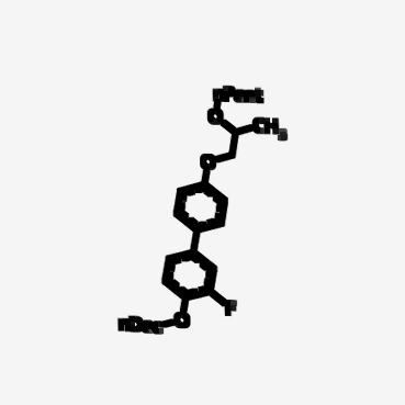 CCCCCCCCCCOc1ccc(-c2ccc(OCC(C)OCCCCC)cc2)cc1F